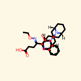 CCO/N=C(\CCC(=O)O)c1nc2ccccc2n(C2C[C@H]3CCC[C@@H](C2)N3C2C[C@H]3CCC[C@@H](C2)C3)c1=O